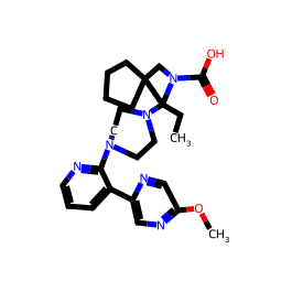 CCC1(N2CCN(c3ncccc3-c3cnc(OC)cn3)CC2)N(C(=O)O)CC12CCCC2